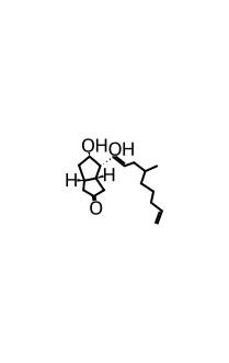 C=CCCCC(C)CC=C(O)[C@@H]1[C@@H]2CC(=O)C[C@@H]2C[C@@H]1O